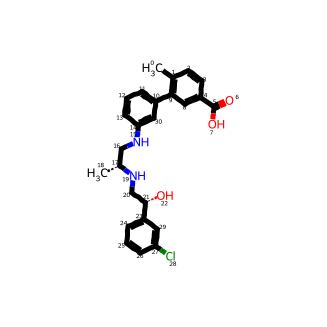 Cc1ccc(C(=O)O)cc1-c1cccc(NC[C@@H](C)NC[C@H](O)c2cccc(Cl)c2)c1